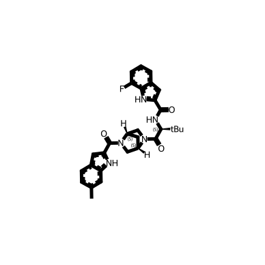 Cc1ccc2cc(C(=O)N3C[C@@H]4C[C@H]3CN4C(=O)[C@@H](NC(=O)c3cc4cccc(F)c4[nH]3)C(C)(C)C)[nH]c2c1